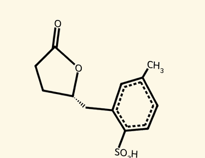 Cc1ccc(S(=O)(=O)O)c(C[C@@H]2CCC(=O)O2)c1